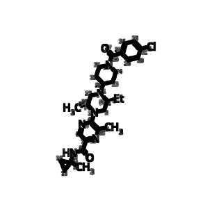 CC[C@H]1CN(c2ncc(C(=O)NC3(C)CC3)nc2C)[C@H](C)CN1C1CCN(C(=O)c2ccc(Cl)cc2)CC1